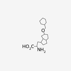 NC(CC1CCC2CCC(OCC3CCCCC3)CC21)C(=O)O